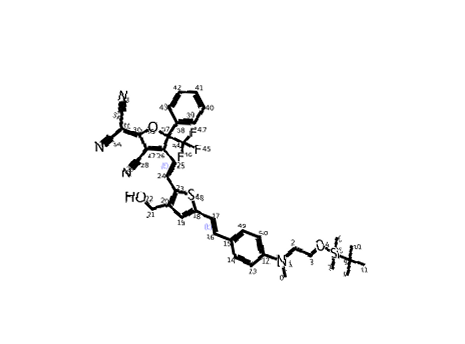 CN(CCO[Si](C)(C)C(C)(C)C)c1ccc(/C=C/c2cc(CO)c(/C=C/C3=C(C#N)C(=C(C#N)C#N)OC3(c3ccccc3)C(F)(F)F)s2)cc1